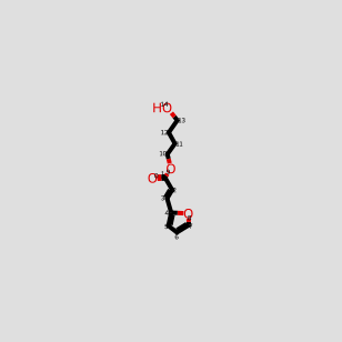 O=C(C=Cc1ccco1)OCCCCO